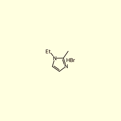 Br.CCn1ccnc1C